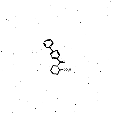 O=C(O)[C@H]1CCCCN1C(=O)c1ccc(-c2ccccc2)cc1